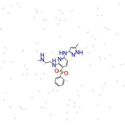 CNCCNc1nc(Nc2cc(C)[nH]n2)ccc1S(=O)(=O)c1ccccc1